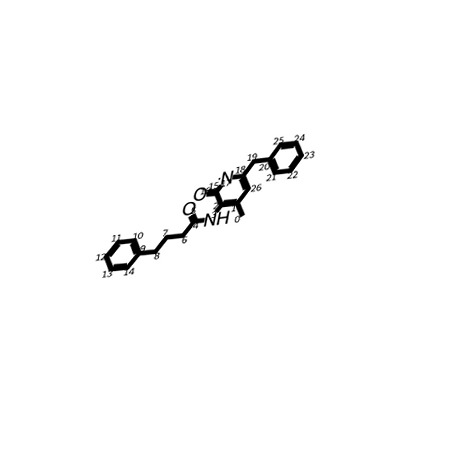 CC1=C(NC(=O)CCCc2ccccc2)C(=O)[N]C(Cc2ccccc2)=C1